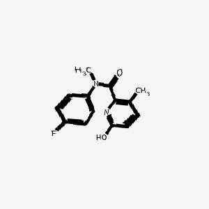 Cc1ccc(O)nc1C(=O)N(C)c1ccc(F)cc1